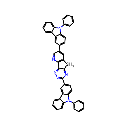 c1ccc(-n2c3ccccc3c3cc(-c4cnc5c(c4)[SiH2]c4nc(-c6ccc7c(c6)c6ccccc6n7-c6ccccc6)nnc4-5)ccc32)cc1